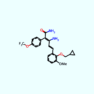 COc1cccc(/C=C/C(N)=C(/C(N)=O)c2ccc(OC(F)(F)F)cc2)c1OCC1CC1